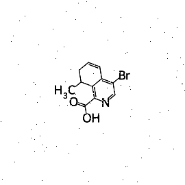 CC1CC=Cc2c(Br)cnc(C(=O)O)c21